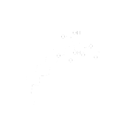 CCCCC(CC)CC(CCCOC(=O)CC(O)(CC(=O)OC(C)=O)C(=O)O)CC(CC)CCCC